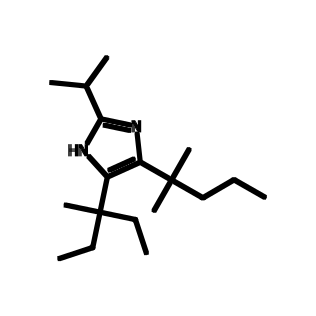 CCCC(C)(C)c1nc(C(C)C)[nH]c1C(C)(CC)CC